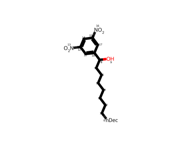 CCCCCCCCCCCCCCCCCC(O)c1cc([N+](=O)[O-])cc([N+](=O)[O-])c1